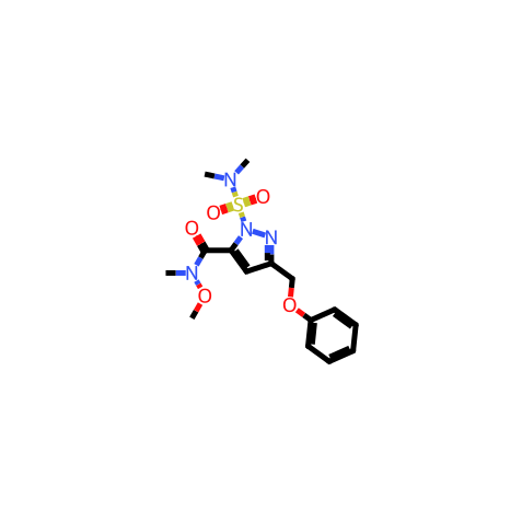 CON(C)C(=O)c1cc(COc2ccccc2)nn1S(=O)(=O)N(C)C